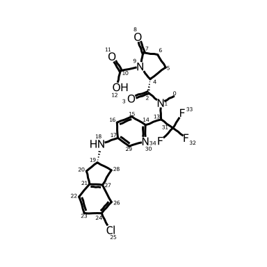 CN(C(=O)[C@H]1CCC(=O)N1C(=O)O)C(c1ccc(N[C@H]2Cc3ccc(Cl)cc3C2)cn1)C(F)(F)F